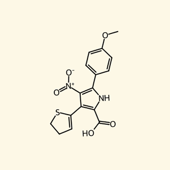 COc1ccc(-c2[nH]c(C(=O)O)c(C3=CCCS3)c2[N+](=O)[O-])cc1